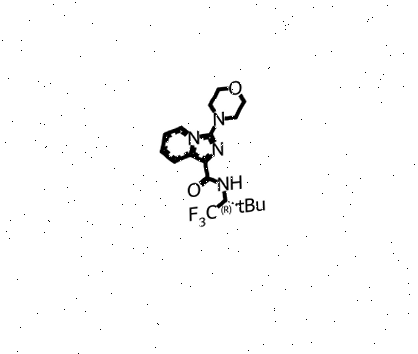 CC(C)(C)[C@@H](NC(=O)c1nc(N2CCOCC2)n2ccccc12)C(F)(F)F